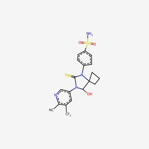 N#Cc1ncc(N2C(=S)N(c3ccc(S(N)(=O)=O)cc3)C3(CCC3)C2O)cc1C(F)(F)F